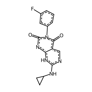 O=c1nc2[nH]c(NC3CC3)ncc-2c(=O)n1-c1cccc(F)c1